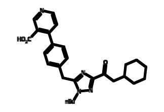 CCCCn1nc(C(=O)CC2CCCCC2)nc1Cc1ccc(-c2ccncc2C(=O)O)cc1